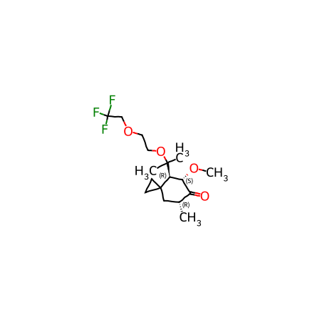 CO[C@@H]1C(=O)[C@H](C)CC2(CC2)[C@H]1C(C)(C)OCCOCC(F)(F)F